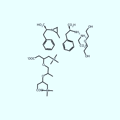 CC(COC(CC(=O)[O-])C[N+](C)(C)C)OC(CC(=O)[O-])C[N+](C)(C)C.CC1CN1[C@@H](Cc1ccccc1)C(=O)O.NCC(=O)O.N[C@@H](Cc1ccccc1)C(=O)O.OCCOCCO